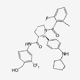 Cc1cccc(F)c1C(=O)N1CCCC(C(=O)Nc2ccc(CO)c(C(F)(F)F)c2)[C@@H]1c1ccc(NC2CCCC2)cc1